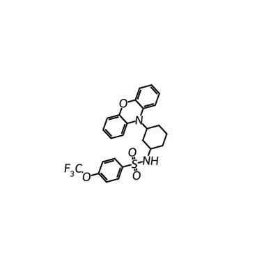 O=S(=O)(NC1CCCC(N2c3ccccc3Oc3ccccc32)C1)c1ccc(OC(F)(F)F)cc1